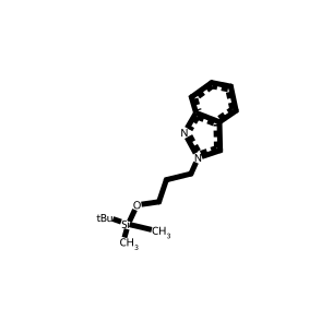 CC(C)(C)[Si](C)(C)OCCCn1cc2ccccc2n1